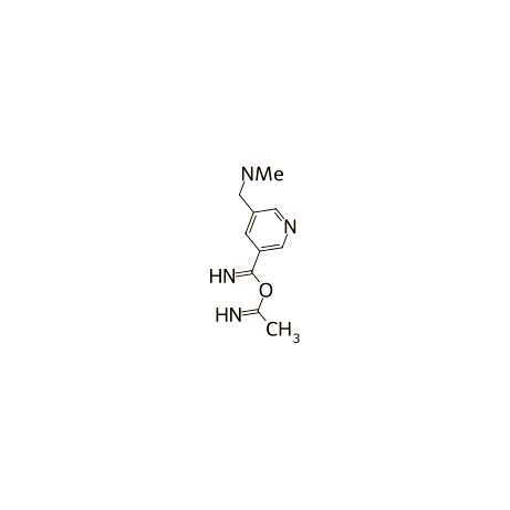 CNCc1cncc(C(=N)OC(C)=N)c1